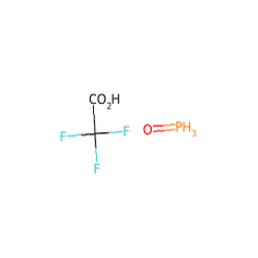 O=C(O)C(F)(F)F.O=[PH3]